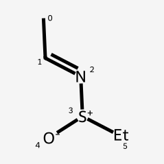 CC=N[S+]([O-])CC